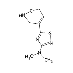 CN(C)c1nsc(C2=CCCNC2)n1